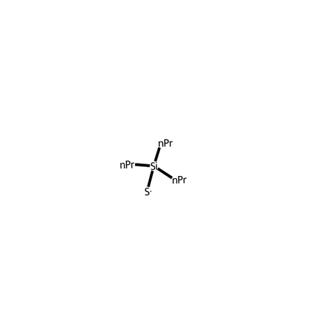 CCC[Si]([S])(CCC)CCC